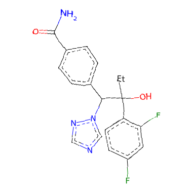 CCC(O)(c1ccc(F)cc1F)C(c1ccc(C(N)=O)cc1)n1cncn1